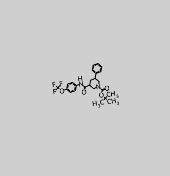 CC(C)(C)OC(=O)N1CC(C(=O)Nc2ccc(OC(F)(F)F)cc2)CC(c2ccccc2)C1